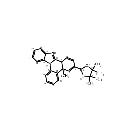 CC12C=C(B3OC(C)(C)C(C)(C)O3)C=CC1c1nc3ccccc3n1-c1ccccc12